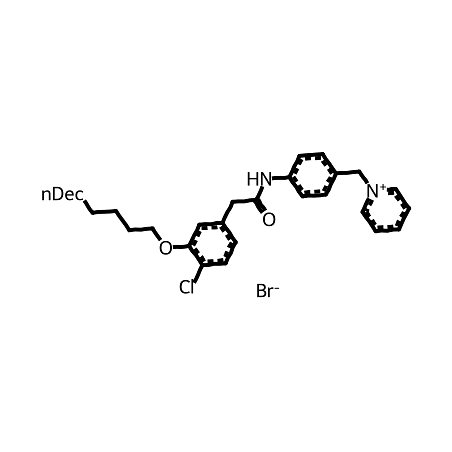 CCCCCCCCCCCCCCOc1cc(CC(=O)Nc2ccc(C[n+]3ccccc3)cc2)ccc1Cl.[Br-]